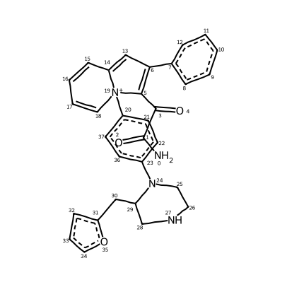 NC(=O)C(=O)C1=C(c2ccccc2)C=C2C=CC=C[N+]21c1ccc(N2CCNCC2Cc2ccco2)cc1